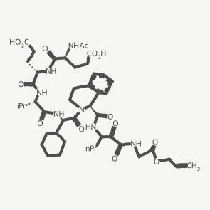 C=CCOC(=O)CNC(=O)C(=O)C(CCC)NC(=O)[C@@H]1c2ccccc2CCN1C(=O)[C@@H](NC(=O)[C@@H](NC(=O)[C@H](CCC(=O)O)NC(=O)[C@H](CCC(=O)O)NC(C)=O)C(C)C)C1CCCCC1